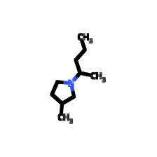 CCCC(C)N1CCC(C)C1